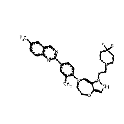 Cc1cc(-c2ncc3cc(C(F)(F)F)ccc3n2)ccc1N1C=C2C(=CNN2CCN2CCC(F)(F)CC2)OCC1